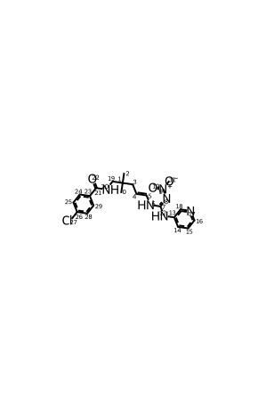 CC(C)(CC=CNC(=N[N+](=O)[O-])Nc1cccnc1)CNC(=O)c1ccc(Cl)cc1